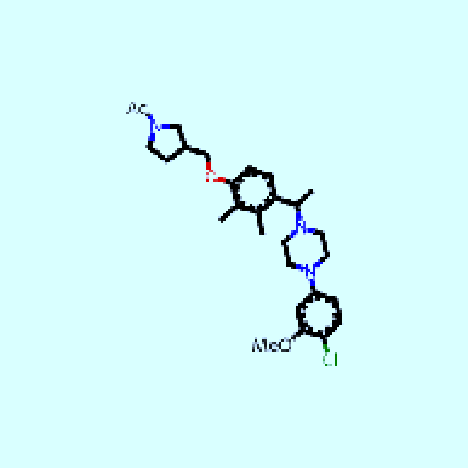 COc1cc(N2CCN(C(C)c3ccc(OCC4CCN(C(C)=O)C4)c(C)c3C)CC2)ccc1Cl